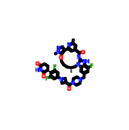 Cc1cc2cc(n1)-c1cnn(C)c1OCCC[C@@H](C)CN1/C(=N/C2=O)Nc2c(F)cc(CN3CCN(C(=O)C4CN(c5cc(F)c([C@H]6CCC(=O)NC6=O)c(F)c5)C4)CC3)cc21